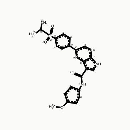 COc1ccc(NC(=O)c2c[nH]c3ncc(-c4ccc(S(=O)(=O)C(C)C)cc4)nc23)cc1